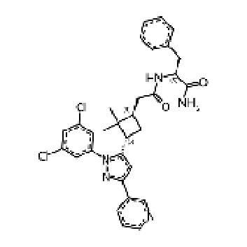 CC1(C)[C@@H](CC(=O)N[C@@H](Cc2ccccc2)C(N)=O)C[C@@H]1c1cc(-c2cccnc2)nn1-c1cc(Cl)cc(Cl)c1